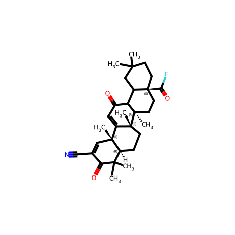 CC1(C)CC[C@]2(C(=O)F)CC[C@]3(C)C(C(=O)C=C4[C@@]5(C)C=C(C#N)C(=O)C(C)(C)[C@@H]5CC[C@]43C)C2C1